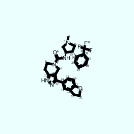 CN1C[C@H](NC(=O)N2CCc3[nH]nc(-c4ccc5c(c4)CCO5)c3C2)[C@@H](c2ccccc2C(F)(F)F)C1